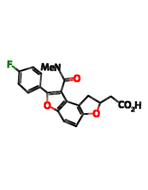 CNC(=O)c1c(-c2ccc(F)cc2)oc2ccc3c(c12)CC(CC(=O)O)O3